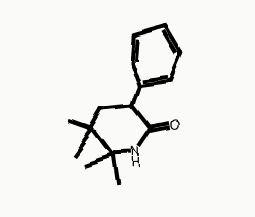 CC1(C)CC(c2ccccc2)C(=O)NC1(C)C